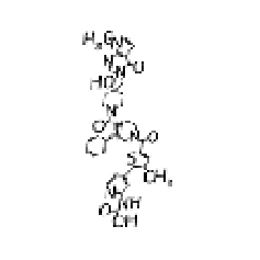 Cc1cc(C(=O)N2CC[C@@H](C(=O)N3CCC(O)(Cn4cnc5c(ccn5C)c4=O)CC3)[C@H](c3ccccc3)C2)sc1-c1ccnc(NC(=O)O)c1